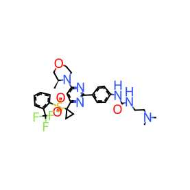 C[C@H]1COCCN1c1cc(C2(S(=O)(=O)c3ccccc3C(F)(F)F)CC2)nc(-c2ccc(NC(=O)NCCN(C)C)cc2)n1